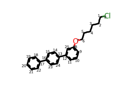 ClCCCCCCOc1cccc(-c2ccc(-c3ccccc3)cc2)c1